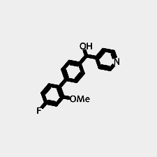 COc1cc(F)ccc1-c1ccc(C(O)c2ccncc2)cc1